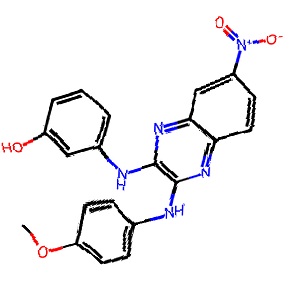 COc1ccc(Nc2nc3ccc([N+](=O)[O-])cc3nc2Nc2cccc(O)c2)cc1